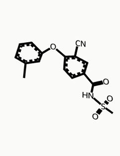 Cc1cccc(Oc2ccc(C(=O)NS(C)(=O)=O)cc2C#N)c1